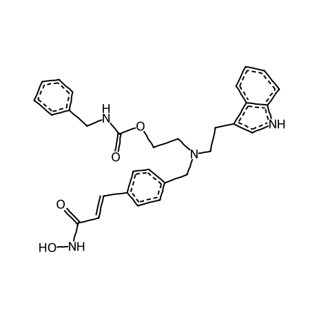 O=C(/C=C/c1ccc(CN(CCOC(=O)NCc2ccccc2)CCc2c[nH]c3ccccc23)cc1)NO